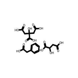 O=C(O)CC(O)(CC(=O)O)C(=O)O.O=C(O)CC(O)C(=O)O.O=C(O)Cc1ccccc1